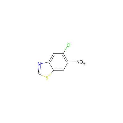 O=[N+]([O-])c1cc2scnc2cc1Cl